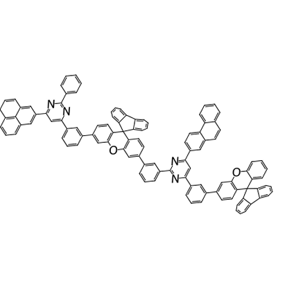 C1=Cc2cc(-c3cc(-c4cccc(-c5ccc6c(c5)Oc5cc(-c7cccc(-c8nc(-c9cccc(-c%10ccc%11c(c%10)Oc%10ccccc%10C%11%10c%11ccccc%11-c%11ccccc%11%10)c9)cc(-c9ccc%10c(ccc%11ccccc%11%10)c9)n8)c7)ccc5C65c6ccccc6-c6ccccc65)c4)nc(-c4ccccc4)n3)cc3cccc(c23)C1